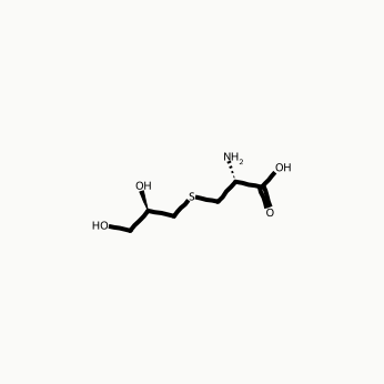 N[C@@H](CSC[C@H](O)CO)C(=O)O